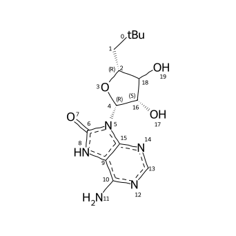 CC(C)(C)C[C@H]1O[C@@H](n2c(=O)[nH]c3c(N)ncnc32)[C@@H](O)C1O